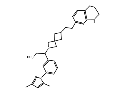 Cc1cc(C)n(-c2cccc(C(CC(=O)O)N3CC4(CC(CCc5ccc6c(n5)NCCC6)C4)C3)c2)n1